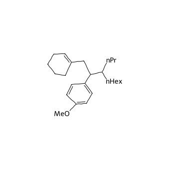 CCCCCCC(CCC)C(CC1=CCCCC1)c1ccc(OC)cc1